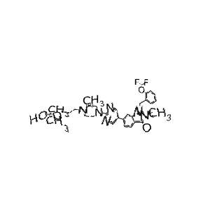 C[C@@H]1CN(c2ncc(-c3ccc4c(=O)n(C)n(Cc5ccccc5OC(F)F)c4c3)cn2)CCN1CCCOC(C)(C)O